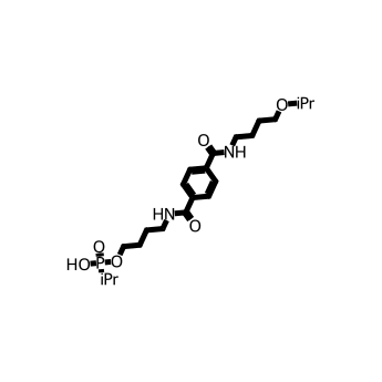 CC(C)OCCCCNC(=O)c1ccc(C(=O)NCCCCOP(=O)(O)C(C)C)cc1